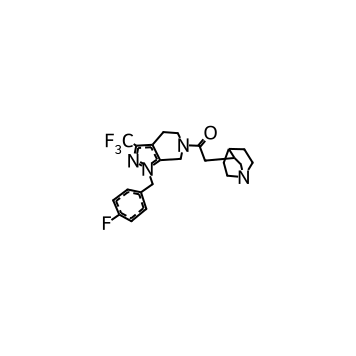 O=C(CC1CN2CCC1CC2)N1CCc2c(C(F)(F)F)nn(Cc3ccc(F)cc3)c2C1